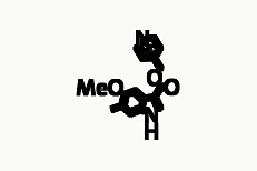 COc1cc2c(C(=O)OCC34CCN(CC3)CC4)c[nH]c2cc1C